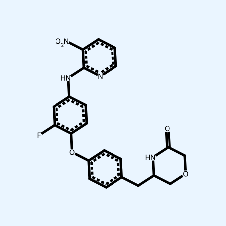 O=C1COCC(Cc2ccc(Oc3ccc(Nc4ncccc4[N+](=O)[O-])cc3F)cc2)N1